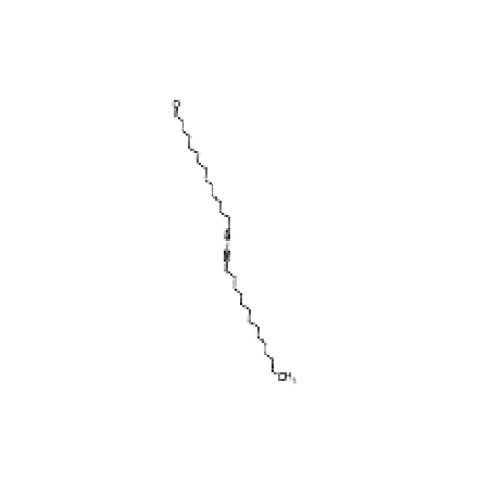 CCCCCCCCCCCCCCC#CC#CCCCCCCCCCCCCCC=O